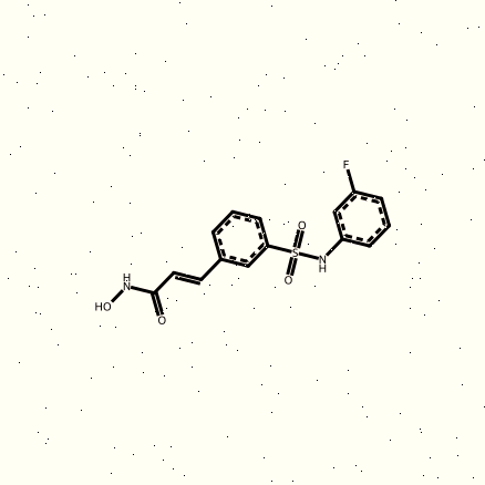 O=C(C=Cc1cccc(S(=O)(=O)Nc2cccc(F)c2)c1)NO